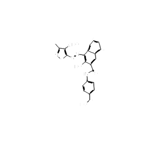 Cc1nsc(/N=N/c2c(O)c(C(=O)Nc3ccc(CO)cc3)cc3ccccc23)c1C=O